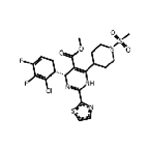 COC(=O)C1=C(C2CCN(S(C)(=O)=O)CC2)NC(c2nccs2)=N[C@@H]1C1CC=C(F)C(F)=C1Cl